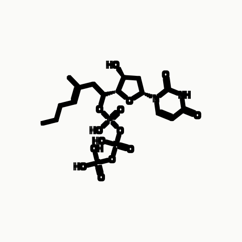 CCCC=C(C)CC(OP(=O)(O)OP(=O)(O)OP(=O)(O)O)[C@H]1O[C@@H](n2ccc(=O)[nH]c2=O)C[C@@H]1O